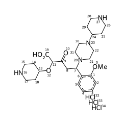 COc1ccccc1C(CC(=O)C(OC1CCNCC1)C(=O)O)N1CCN(C2CCNCC2)CC1.Cl.Cl.Cl